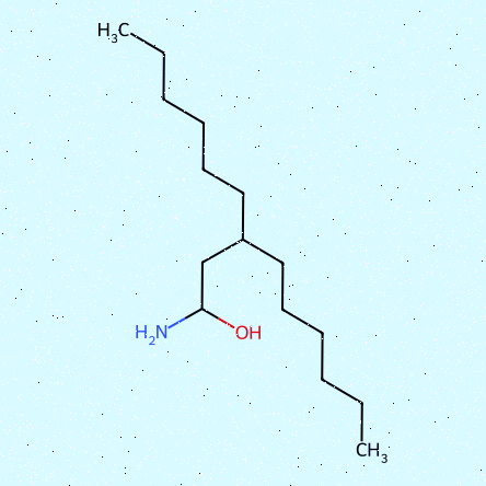 CCCCCCC(CCCCCC)CC(N)O